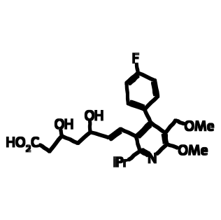 COCc1c(OC)nc(C(C)C)c(/C=C/C(O)CC(O)CC(=O)O)c1-c1ccc(F)cc1